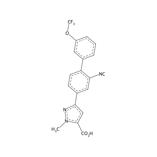 [C-]#[N+]c1cc(-c2cc(C(=O)O)n(C)n2)ccc1-c1cccc(OC(F)(F)F)c1